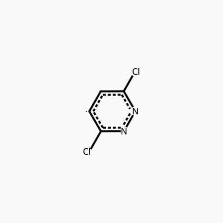 Clc1[c]cc(Cl)nn1